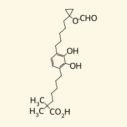 CC(C)(CCCCCc1ccc(CCCCCC2(OC=O)CC2)c(O)c1O)C(=O)O